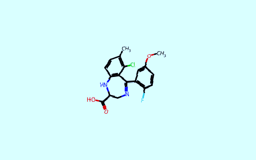 COc1ccc(F)c(C2=NCC(C(=O)O)Nc3ccc(C)c(Cl)c32)c1